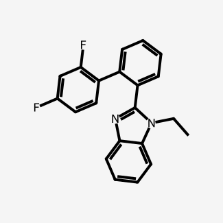 CCn1c(-c2ccccc2-c2ccc(F)cc2F)nc2ccccc21